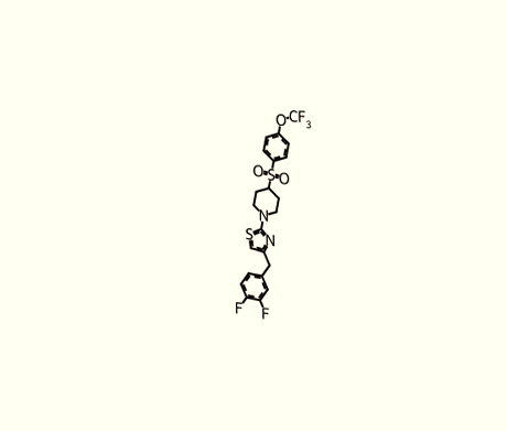 O=S(=O)(c1ccc(OC(F)(F)F)cc1)C1CCN(c2nc(Cc3ccc(F)c(F)c3)cs2)CC1